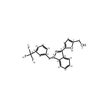 OCc1ccc(-c2nn(Cc3cccc(C(F)(F)F)c3)c3ccccc23)o1